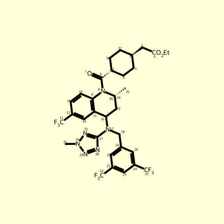 CCOC(=O)C[C@H]1CC[C@H](C(=O)N2c3ccc(C(F)(F)F)cc3C(N(Cc3cc(C(F)(F)F)cc(C(F)(F)F)c3)c3nnn(C)n3)C[C@H]2C)CC1